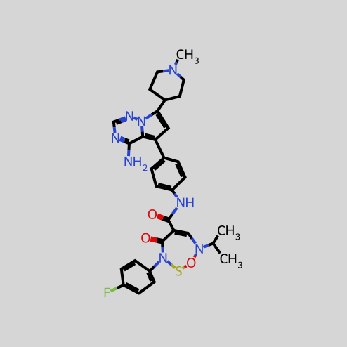 CC(C)n1cc(C(=O)Nc2ccc(-c3cc(C4CCN(C)CC4)n4ncnc(N)c34)cc2)c(=O)n(-c2ccc(F)cc2)so1